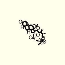 C=C(C(=O)[C@H](OC(C)=O)C1[C@@H](OC(C)=O)C[C@@]2(C)[C@@H]3CC[C@H]4[C@H](C)C(=O)C=C[C@@]45C[C@@]35CC[C@]12C)[C@@H](C)COP(=O)(OCC)OCC